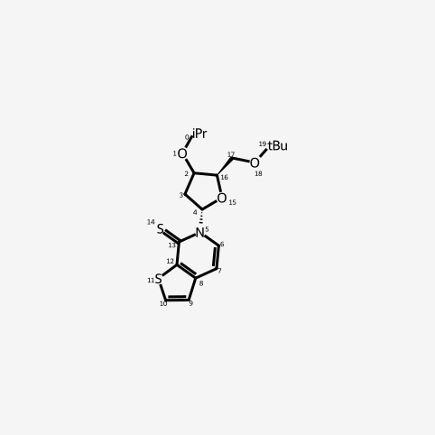 CC(C)OC1C[C@@H](n2ccc3ccsc3c2=S)O[C@@H]1COC(C)(C)C